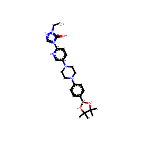 CC1(C)OB(c2ccc(N3CCN(c4ccc(-n5cnn(CC(F)(F)F)c5=O)nc4)CC3)cc2)OC1(C)C